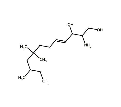 CCC(C)CC(C)(C)CC/C=C/C(O)C(N)CO